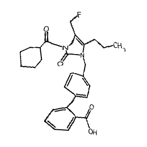 CCCc1c(CF)n(C(=O)C2CCCCC2)c(=O)n1Cc1ccc(-c2ccccc2C(=O)O)cc1